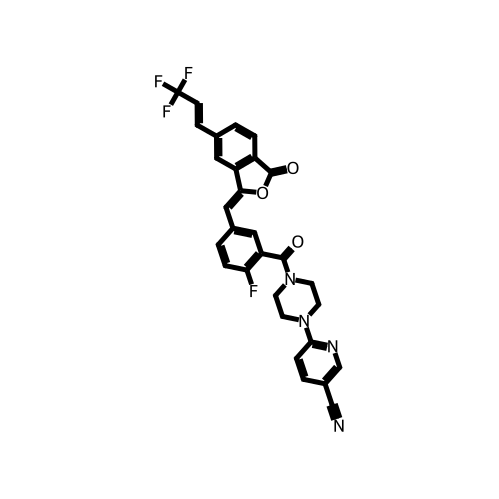 N#Cc1ccc(N2CCN(C(=O)c3cc(/C=C4\OC(=O)c5ccc(/C=C/C(F)(F)F)cc54)ccc3F)CC2)nc1